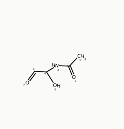 CC(=O)NC(O)C=O